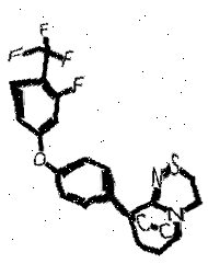 Fc1cc(Oc2ccc(C34CCC(CC3)N3CCSN=C34)cc2)ccc1C(F)(F)F